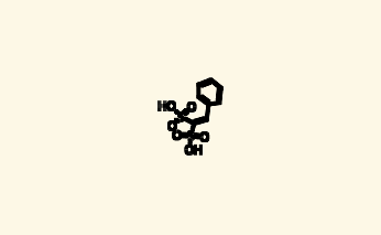 O=S(=O)(O)C(=Cc1ccccc1)S(=O)(=O)O